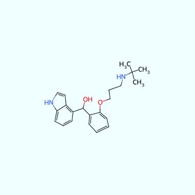 CC(C)(C)NCCCOc1ccccc1C(O)c1cccc2[nH]ccc12